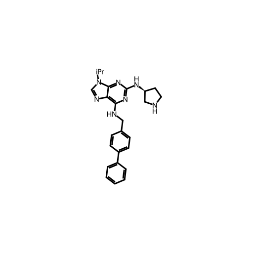 CC(C)n1cnc2c(NCc3ccc(-c4ccccc4)cc3)nc(N[C@H]3CCNC3)nc21